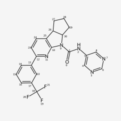 O=C(Nc1cncnc1)N1c2nc(-c3cccc(C(F)(F)F)c3)ccc2C2CCCC21